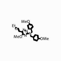 CCOC=Cc1nnc(N(Cc2ccc(OC)cc2)Cc2ccc(OC)cc2)nc1OC